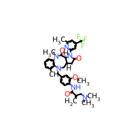 C=C(CN(C)C)C(=O)Nc1ccc(CN2C[C@H]3CC(=O)N(c4cc(C(F)(F)F)cc(C)n4)[C@@H]3C(=O)N(C)c3cccc(C)c32)cc1OC